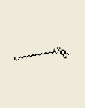 CCCCCCCCC=CCCCCCCCC(=O)OC(C)c1ccc(O)c(O)c1